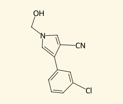 N#Cc1cn(CO)cc1-c1cccc(Cl)c1